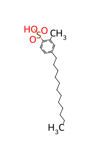 CCCCCCCCCCCCc1ccc(S(=O)(=O)O)c(C)c1